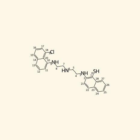 Sc1c(NCCNCCNc2cccc3cccc(Cl)c23)ccc2ccccc12